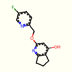 Oc1cc(OCc2ccc(F)cn2)nc2c1CCC2